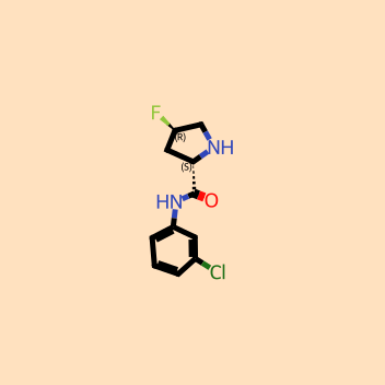 O=C(Nc1cccc(Cl)c1)[C@@H]1C[C@@H](F)CN1